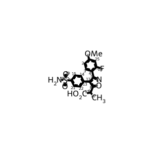 COc1ccc(-c2noc(C(C)C(=O)O)c2-c2ccc(S(N)(=O)=O)cc2)c(F)c1